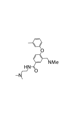 CNCc1cc(C(=O)NCCN(C)C)ccc1Oc1cccc(C)c1